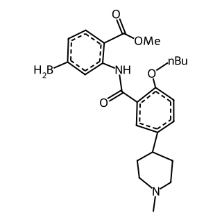 Bc1ccc(C(=O)OC)c(NC(=O)c2cc(C3CCN(C)CC3)ccc2OCCCC)c1